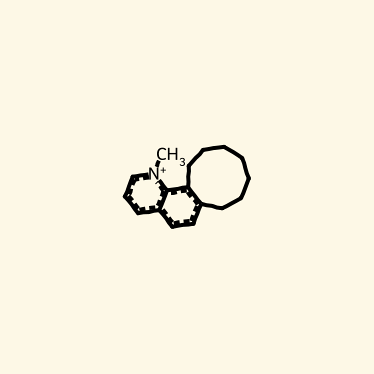 C[n+]1cccc2ccc3c(c21)CCCCCCC3